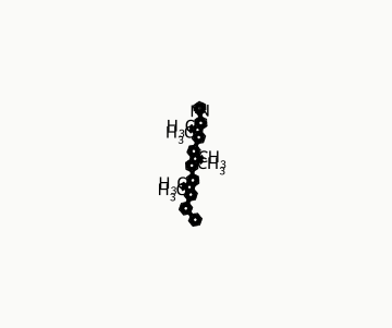 CC1(C)c2cc(-c3cccc(-c4ccccc4)c3)ccc2-c2ccc(-c3ccc4c(c3)C(C)(C)c3cc(-c5ccc6c(c5)C(C)(C)c5cc(-c7ncccn7)ccc5-6)ccc3-4)cc21